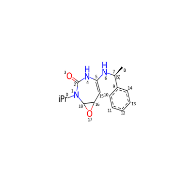 CC(C)N1C(=O)NC(N[C@@H](C)c2ccccc2)=CC2OC21